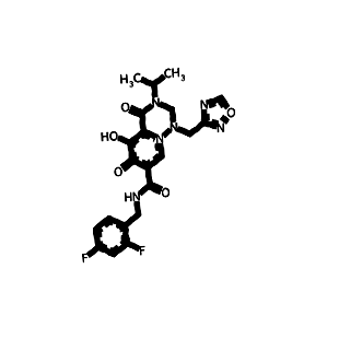 CC(C)N1CN(Cc2ncon2)n2cc(C(=O)NCc3ccc(F)cc3F)c(=O)c(O)c2C1=O